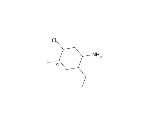 CCC1C[C@H](C)C(Cl)CC1N